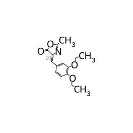 CCOc1ccc(/C=C2\N=C(C)OC2=O)cc1OCC